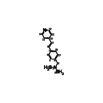 BN(B)Cc1ccc(/C=C/c2ccncc2)cc1